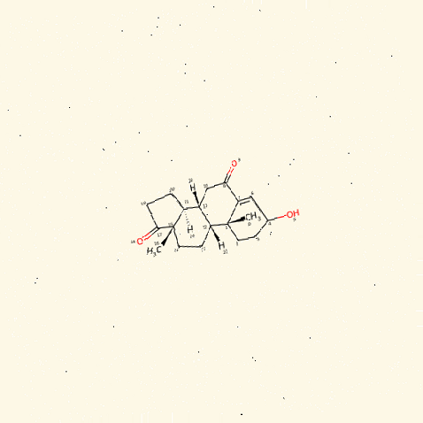 C[C@]12CCC(O)C=C1C(=O)C[C@@H]1[C@H]2CC[C@]2(C)C(=O)CC[C@@H]12